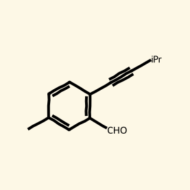 Cc1ccc(C#CC(C)C)c(C=O)c1